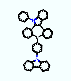 c1ccc(-n2c3c(c4ccccc42)-c2ccccc2B(c2ccc(-n4c5ccccc5c5ccccc54)cc2)c2ccccc2-3)cc1